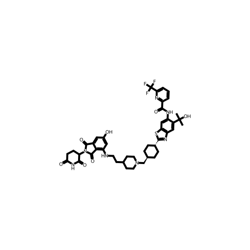 CC(C)(O)c1cc2nc([C@H]3CC[C@H](CN4CCC(CCNc5cc(O)cc6c5C(=O)N(C5CCC(=O)NC5=O)C6=O)CC4)CC3)sc2cc1NC(=O)c1cccc(C(F)(F)F)n1